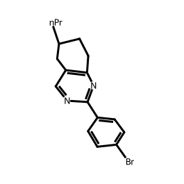 CCCC1CCc2nc(-c3ccc(Br)cc3)ncc2C1